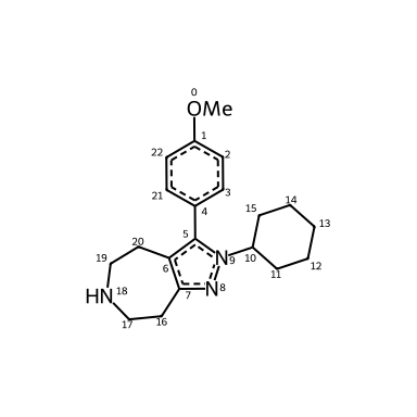 COc1ccc(-c2c3c(nn2C2CCCCC2)CCNCC3)cc1